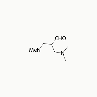 CNCC(C=O)CN(C)C